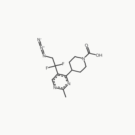 Cc1ncc(C(F)(F)CN=[N+]=[N-])c(C2CCN(C(=O)O)CC2)n1